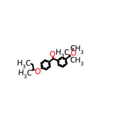 CCC(C)Oc1ccc(C(=O)c2cccc(C(C)(C)OC)c2)cc1